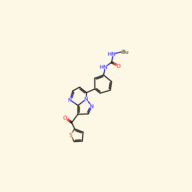 CCC(C)NC(=O)Nc1cccc(-c2ccnc3c(C(=O)c4cccs4)cnn23)c1